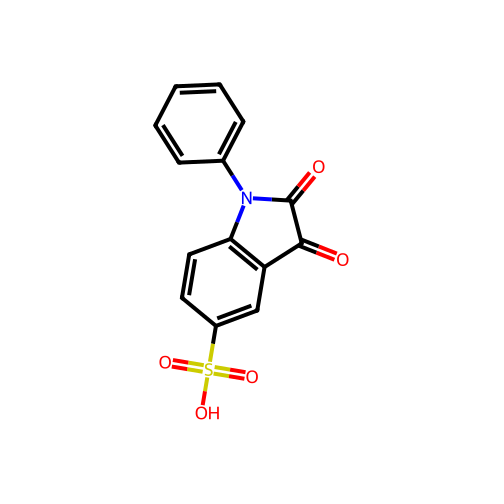 O=C1C(=O)N(c2ccccc2)c2ccc(S(=O)(=O)O)cc21